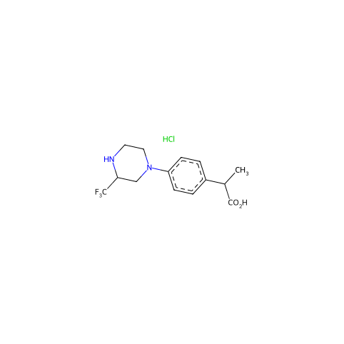 CC(C(=O)O)c1ccc(N2CCNC(C(F)(F)F)C2)cc1.Cl